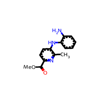 COC(=O)c1ccc(Nc2ccccc2N)c(C)n1